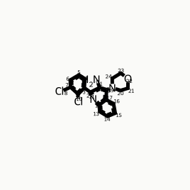 Nc1c(-c2cccc(Cl)c2Cl)nc2ccccc2c1N1CCOCC1